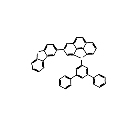 c1ccc(-c2cc(-c3ccccc3)cc(-n3c4cccc5ccc6cc(-c7ccc8oc9ccccc9c8c7)cc3c6c54)c2)cc1